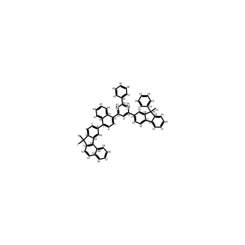 CC1(C)c2ccc(-c3ccc(-c4cc(-c5ccc6c(c5)C(C)(c5ccccc5)c5ccccc5-6)nc(-c5ccccc5)n4)c4ccccc34)cc2-c2c1ccc1ccccc21